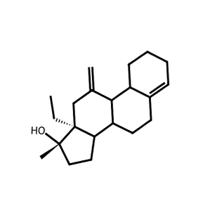 C=C1C[C@@]2(CC)C(CC[C@]2(C)O)C2CCC3=CCCCC3C12